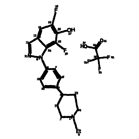 CCN1CCC(c2ccc(-n3ncc4cc(F)c(O)c(F)c43)cc2)CC1.O=C(O)C(F)(F)F